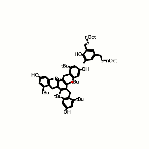 CCCCCCCCSCc1cc(C)c(O)c(CSCCCCCCCC)c1.Cc1c(Cc2c(C(C)(C)C)cc(O)cc2C(C)(C)C)c(C)c(Cc2c(C(C)(C)C)cc(O)cc2C(C)(C)C)c(C)c1Cc1c(C(C)(C)C)cc(O)cc1C(C)(C)C